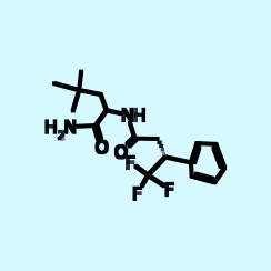 CC(C)(C)CC(NC(=O)C[C@H](c1ccccc1)C(F)(F)F)C(N)=O